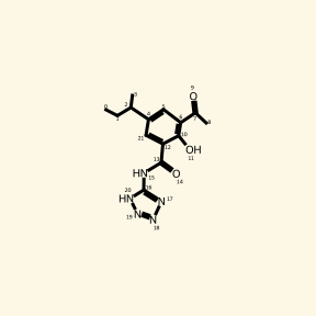 CCC(C)c1cc(C(C)=O)c(O)c(C(=O)Nc2nnn[nH]2)c1